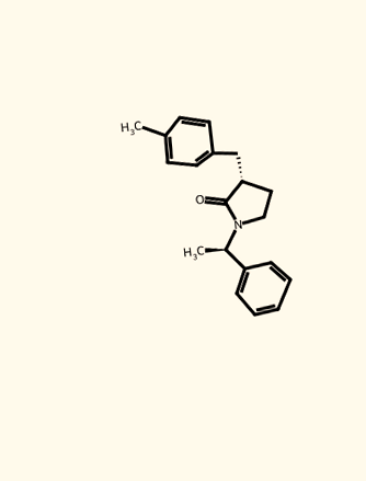 Cc1ccc(C[C@@H]2CCN([C@H](C)c3ccccc3)C2=O)cc1